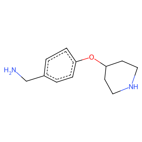 NCc1ccc(OC2CCNCC2)cc1